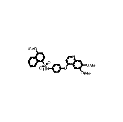 COc1cc2nccc(Oc3ccc(NS(=O)(=O)c4ccc(OC)c5ccccc45)cc3)c2cc1OC